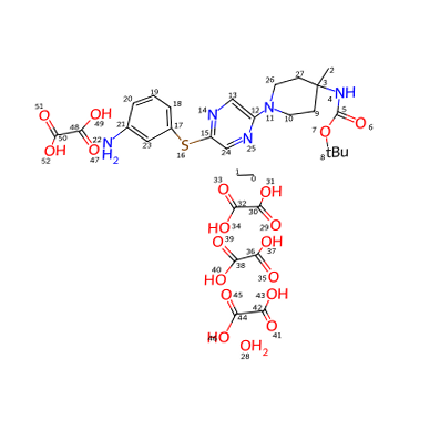 CC.CC1(NC(=O)OC(C)(C)C)CCN(c2cnc(Sc3cccc(N)c3)cn2)CC1.O.O=C(O)C(=O)O.O=C(O)C(=O)O.O=C(O)C(=O)O.O=C(O)C(=O)O